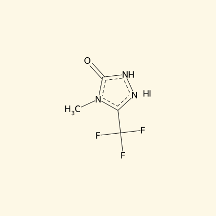 Cn1c(C(F)(F)F)n[nH]c1=O.I